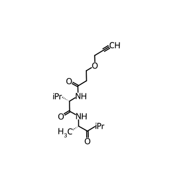 C#CCOCCC(=O)N[C@H](C(=O)N[C@@H](C)C(=O)C(C)C)C(C)C